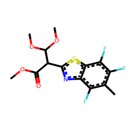 COC(=O)C(c1nc2c(F)c(C)c(F)c(F)c2s1)C(OC)OC